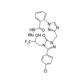 CC(C)(C)NC(=O)c1ccccc1-n1cnc(Cn2nc(-c3ccc(Cl)cc3)n(CC(O)C(F)(F)F)c2=O)n1